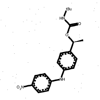 C[C@H](OC(=O)NC(C)(C)C)c1ccc(Nc2ccc([N+](=O)[O-])cc2)cc1